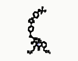 CCS/C(=N\C(=O)NC1CC1c1ccc(-c2ncn(-c3ccc(OC(F)(F)F)cc3)n2)cc1)Nc1c(C)cccc1CC